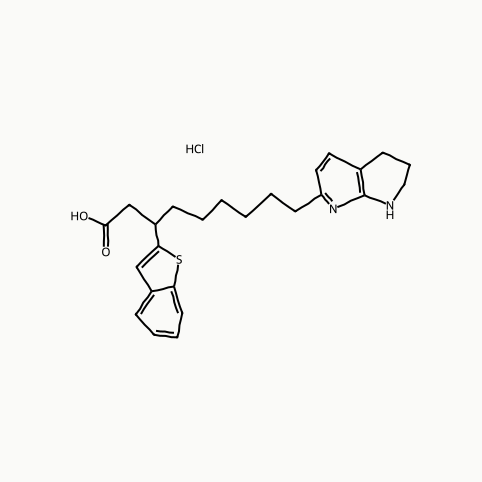 Cl.O=C(O)CC(CCCCCCc1ccc2c(n1)NCCC2)c1cc2ccccc2s1